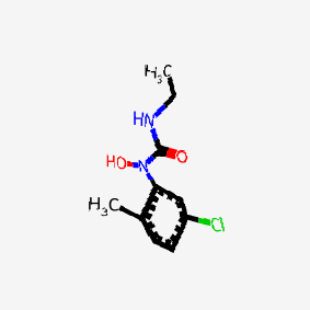 CCNC(=O)N(O)c1cc(Cl)ccc1C